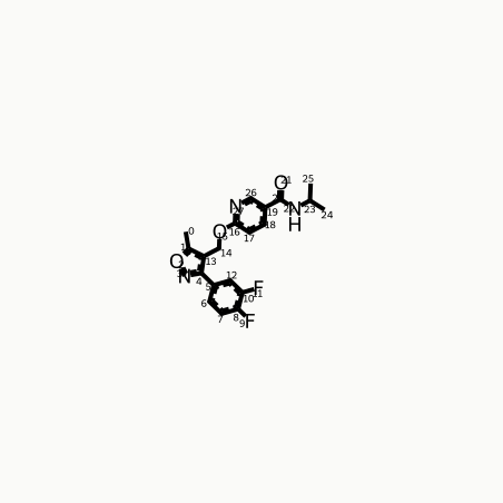 Cc1onc(-c2ccc(F)c(F)c2)c1COc1ccc(C(=O)NC(C)C)cn1